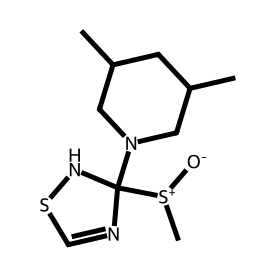 CC1CC(C)CN(C2([S+](C)[O-])N=CSN2)C1